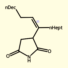 CCCCCCCCCCC/C=C(/CCCCCCC)C1CC(=O)NC1=O